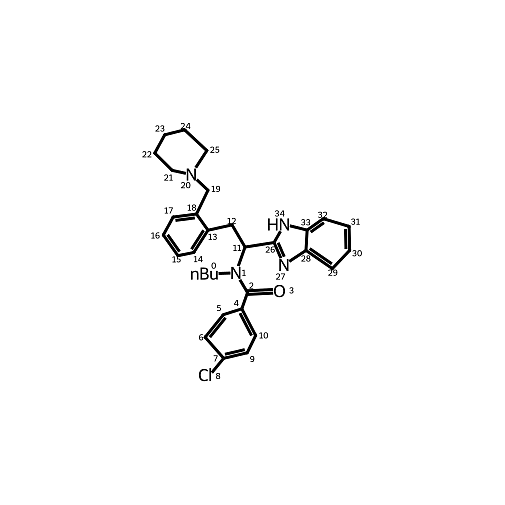 CCCCN(C(=O)c1ccc(Cl)cc1)C(Cc1ccccc1CN1CCCCC1)c1nc2ccccc2[nH]1